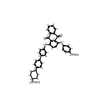 CCCCCCc1ccc(Sc2ccc(Sc3ccc(-c4ccc(C5CCC(CCCCC)CC5)cc4)cc3)c3c2C(=O)c2ccccc2C3=O)cc1